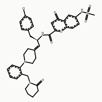 CS(=O)(=O)Nc1ccc2oc(C(=O)N[C@@H](C=C3CCN(c4ccccc4CN4CCCCC4=O)CC3)Cc3ccc(Cl)cc3)cc(=O)c2c1